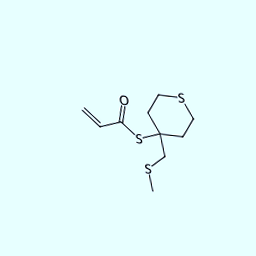 C=CC(=O)SC1(CSC)CCSCC1